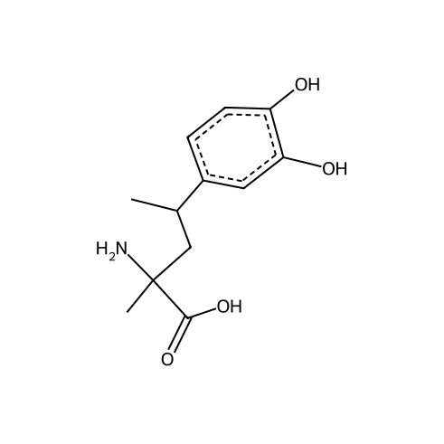 CC(CC(C)(N)C(=O)O)c1ccc(O)c(O)c1